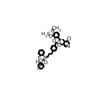 COc1ccc([C@H](Cc2c(Cl)cncc2Cl)OC(=O)c2ccc(CCCN(C(=O)O[C@H]3CN4CCC3CC4)c3ccccc3F)cc2)cc1OC